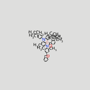 Cc1cc2c3c(c1)N(c1c(C)cc(-c4cc5ccccc5o4)cc1C)c1oc4ccc(C(C)(C)C)cc4c1B3c1cc(C(C)(C)C)ccc1N2c1ccc(C(C)(C)C)cc1